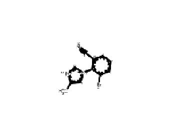 Cc1cn(-c2c(Br)cccc2C#N)cn1